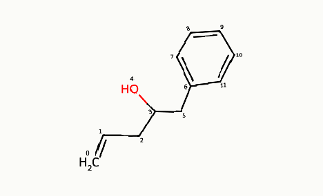 C=CCC(O)Cc1ccccc1